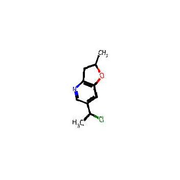 CC1Cc2ncc(C(C)Cl)cc2O1